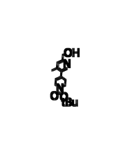 Cc1cc(CO)ncc1C1=CCN(C(=O)OC(C)(C)C)CC1